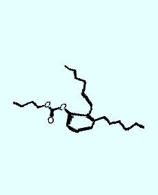 CCCCCCc1cccc(OC(=O)OCCCC)c1CCCCCC